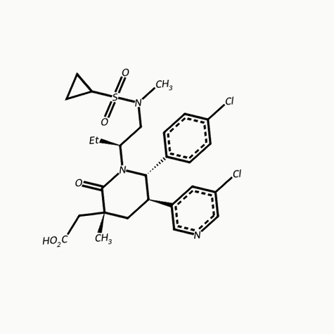 CC[C@@H](CN(C)S(=O)(=O)C1CC1)N1C(=O)[C@@](C)(CC(=O)O)C[C@H](c2cncc(Cl)c2)[C@H]1c1ccc(Cl)cc1